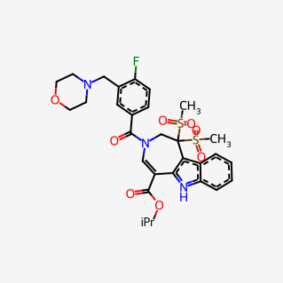 CC(C)OC(=O)C1=CN(C(=O)c2ccc(F)c(CN3CCOCC3)c2)CC(S(C)(=O)=O)(S(C)(=O)=O)c2c1[nH]c1ccccc21